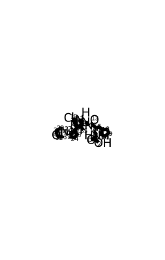 O=C(O)NC[C@@H](CC1CCCC1)C(=O)NNc1nc(Cl)nc(N2CCC[C@@H]2CN2CCOCC2)c1F